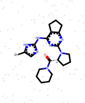 CC(C)c1cnc(Nc2nc(N3CCC[C@@H]3C(=O)N3CCCCC3)nc3c2CCC3)[nH]1